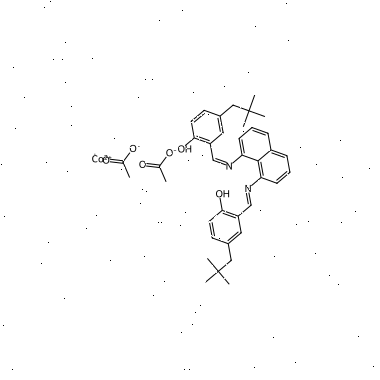 CC(=O)[O-].CC(=O)[O-].CC(C)(C)Cc1ccc(O)c(C=Nc2cccc3cccc(N=Cc4cc(CC(C)(C)C)ccc4O)c23)c1.[Co+2]